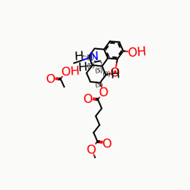 CC(=O)O.COC(=O)CCCCC(=O)O[C@H]1CC[C@H]2[C@H]3Cc4ccc(O)c5c4[C@@]2(CCN3C)[C@H]1O5